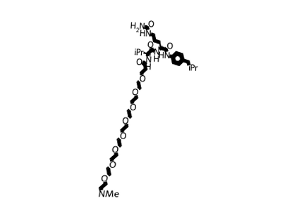 CNCCOCCOCCOCCOCCOCCOCCOCCOCCC(=O)N[C@H](C(=O)N[C@@H](CCCNC(N)=O)C(=O)Nc1ccc(CC(C)C)cc1)C(C)C